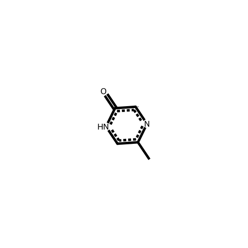 Cc1c[nH]c(=O)[c]n1